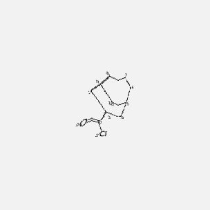 O=C(Cl)C1CC2CCCC(C2)C1